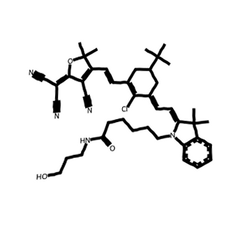 CC1(C)OC(=C(C#N)C#N)C(C#N)=C1C=CC1=C(Cl)C(=CC=C2N(CCCCCC(=O)NCCCO)c3ccccc3C2(C)C)CC(C(C)(C)C)C1